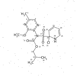 COc1nc(C)cnc1N(C(=O)OCC(C)C)S(=O)(=O)C1(Cl)C=CC=CN1